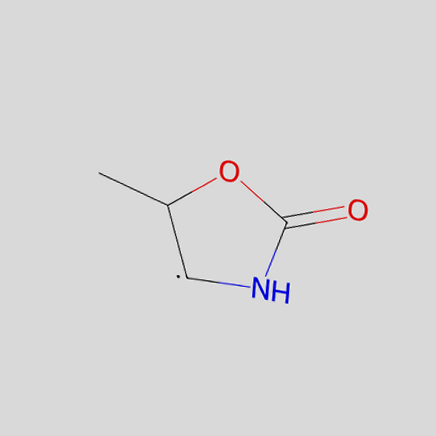 CC1[CH]NC(=O)O1